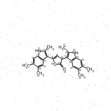 Cc1cc2[nH]c(C)c(C3=CC(c4c(C)[nH]c5cc(C)c(C)cc45)C(=O)O3)c2cc1C